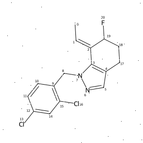 [CH2]/C=C1/c2c(cnn2Cc2ccc(Cl)cc2Cl)CCC1F